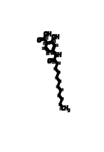 CCCCCCCCCCCC(=O)Nc1ccc(C(=O)O)c(O)c1